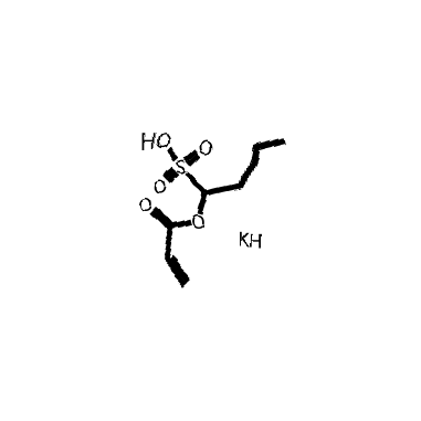 C=CC(=O)OC(CCC)S(=O)(=O)O.[KH]